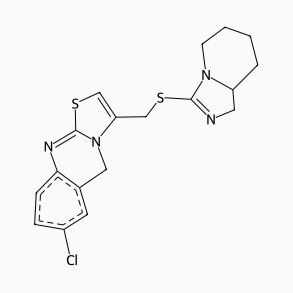 Clc1ccc2c(c1)CN1C(CSC3=NCC4CCCCN34)=CSC1=N2